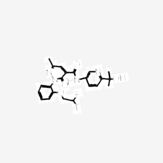 Cc1cc(C(=O)Nc2ccc(C(C)(C)O)nc2)c(=O)n(-c2ccccc2OCC(F)F)n1